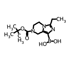 CCc1nc(B(O)O)c2n1CCN(C(=O)OC(C)(C)C)C2